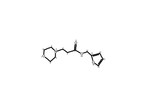 O=C(CCN1CCOCC1)OCc1ccco1